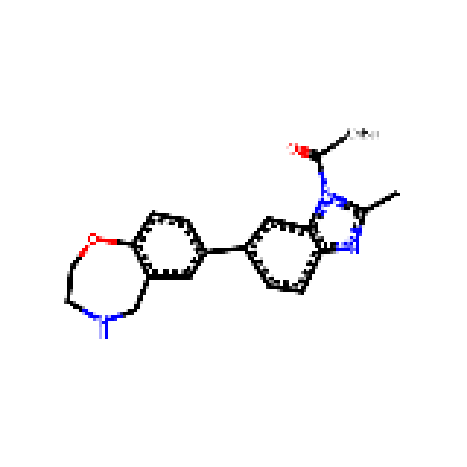 Cc1nc2ccc(-c3ccc4c(c3)CNCCO4)cc2n1C(=O)OCC(C)C